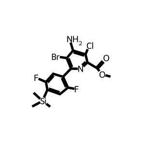 COC(=O)c1nc(-c2cc(F)c([Si](C)(C)C)cc2F)c(Br)c(N)c1Cl